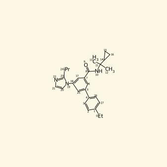 CCc1ccc(-c2cc(C(=O)NC(C)(C)C3CC3)cc(-n3ccnc3C(C)C)c2)cc1